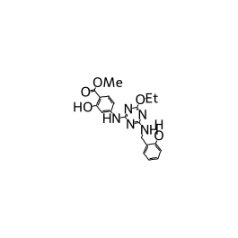 CCOc1nc(NCc2ccccc2O)nc(Nc2ccc(C(=O)OC)c(O)c2)n1